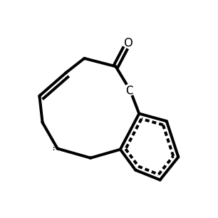 O=C1C/C=C\C[C]Cc2ccccc2C1